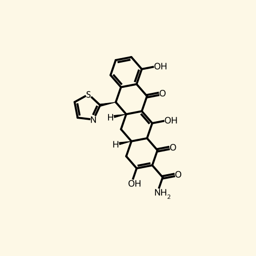 NC(=O)C1=C(O)C[C@@H]2C[C@H]3C(=C(O)C2C1=O)C(=O)c1c(O)cccc1[C@@H]3c1nccs1